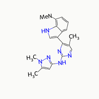 CNc1cccc2c(-c3nc(Nc4cc(C)n(C)n4)ncc3C)c[nH]c12